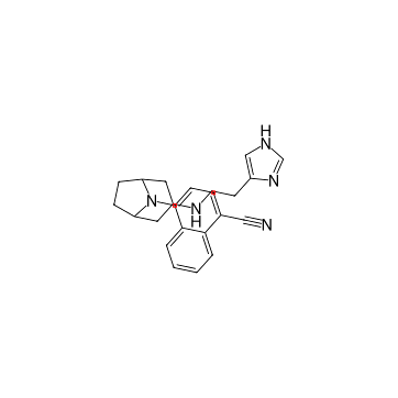 N#Cc1ccc(N2C3CCC2CC(NCCc2c[nH]cn2)C3)c2ccccc12